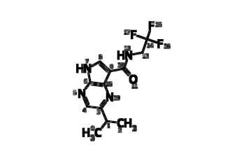 CC(C)c1cnc2[nH]cc(C(=O)NCC(F)(F)F)c2n1